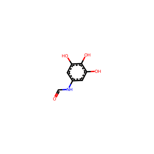 O=CNc1cc(O)c(O)c(O)c1